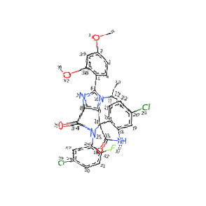 COc1ccc(-c2nc3c(n2C(C)C)C2(C(=O)Nc4cc(Cl)ccc42)N(c2cc(Cl)ccc2F)C3=O)c(OC)c1